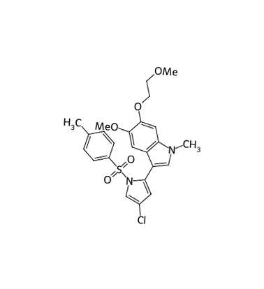 COCCOc1cc2c(cc1OC)c(-c1cc(Cl)cn1S(=O)(=O)c1ccc(C)cc1)cn2C